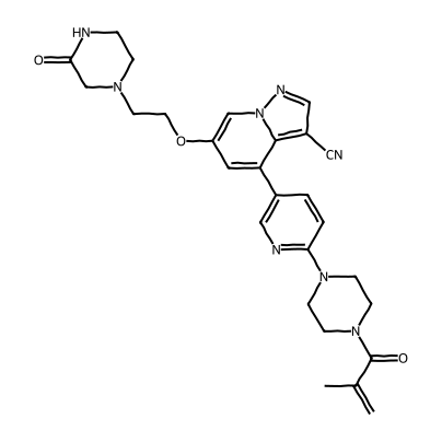 C=C(C)C(=O)N1CCN(c2ccc(-c3cc(OCCN4CCNC(=O)C4)cn4ncc(C#N)c34)cn2)CC1